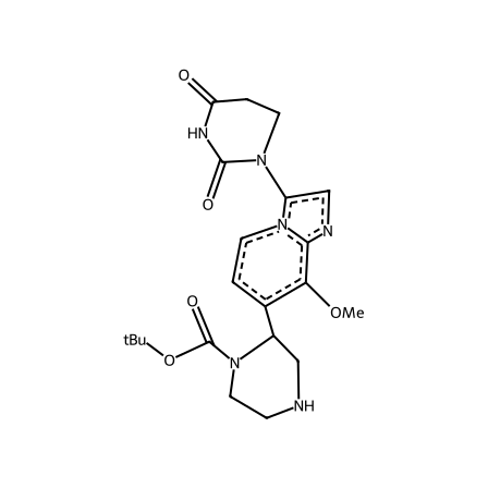 COc1c(C2CNCCN2C(=O)OC(C)(C)C)ccn2c(N3CCC(=O)NC3=O)cnc12